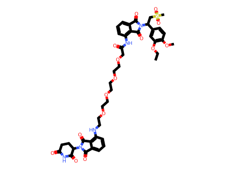 CCOc1cc(C(CS(C)(=O)=O)N2C(=O)c3cccc(NC(=O)COCCOCCOCCOCCNc4cccc5c4C(=O)N(C4CCC(=O)NC4=O)C5=O)c3C2=O)ccc1OC